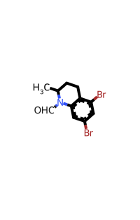 CC1CCc2c(Br)cc(Br)cc2N1C=O